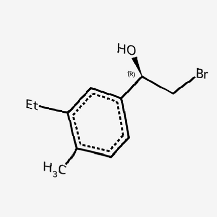 CCc1cc([C@@H](O)CBr)ccc1C